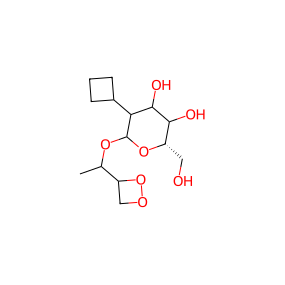 CC(OC1O[C@@H](CO)C(O)C(O)C1C1CCC1)C1COO1